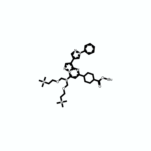 CC(C)(C)OC(=O)C1CCC(c2cc(N(COCC[Si](C)(C)C)COCC[Si](C)(C)C)n3ncc(-c4cnn(-c5ccccc5)c4)c3n2)CC1